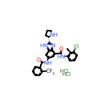 Cc1c(Cl)cccc1NC(=O)c1cc(NC(=O)c2ccccc2C(F)(F)F)cc2[nH]c([C@@H]3CCCN3)nc12.Cl.Cl